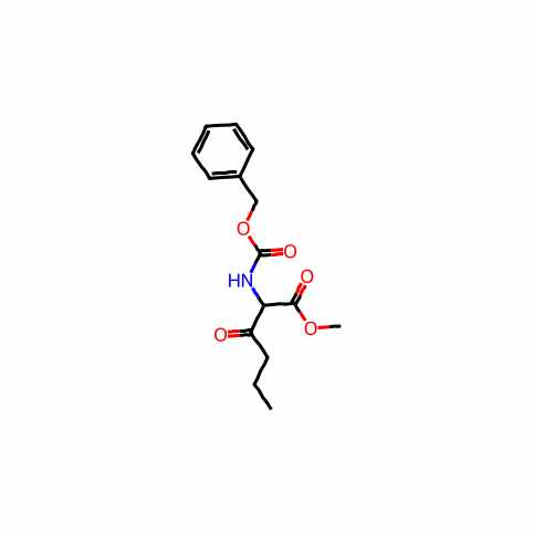 CCCC(=O)C(NC(=O)OCc1ccccc1)C(=O)OC